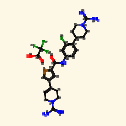 N=C(N)N1CC=C(c2csc(C(=O)Nc3ccc(C4=CCN(C(=N)N)CC4)c(F)c3)c2)CC1.O=C(O)C(F)(F)F